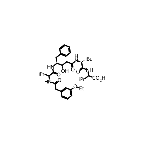 CCOc1cccc(CC(=O)NC(C(=O)N[C@@H](Cc2ccccc2)[C@@H](O)CC(=O)N[C@H](C(=O)NC(C(=O)O)C(C)C)[C@@H](C)CC)C(C)C)c1